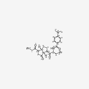 CC(C)CC(=O)N1CC(=O)[C@@H]2[C@H]1CCN2C(=O)[C@H](CC(C)C)NC(=O)c1ccc(N(C)C)cc1